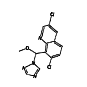 COC(c1c(Cl)ccc2cc(Cl)cnc12)n1cncn1